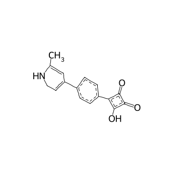 CC1=CC(c2ccc(-c3c(O)c(=O)c3=O)cc2)=CCN1